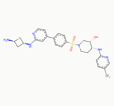 N[C@H]1C[C@@H](Nc2cc(-c3ccc(S(=O)(=O)N4CC[C@@H](Nc5ccc(C(F)(F)F)cn5)[C@@H](O)C4)cc3)ccn2)C1